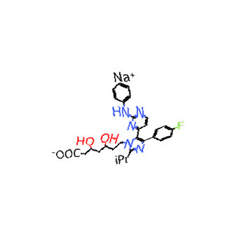 CC(C)c1nc(-c2ccc(F)cc2)c(-c2ccnc(Nc3ccccc3)n2)n1CCC(O)CC(O)CC(=O)[O-].[Na+]